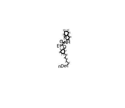 CCCCCCCCCCCCCCCc1cccc(OC(CC)C(=O)Nc2ccc3ccccc3n2)c1